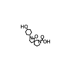 O=C(O)N1CCCC2(CCN([C@H]3CC[C@H](O)CC3)C2=O)C1